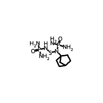 NP(N)(=O)NSN(C12CCC(CC1)C2)P(N)(N)=O